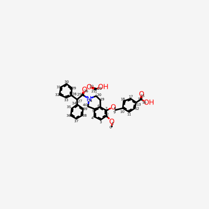 COc1ccc2c(c1OCc1ccc(C(=O)O)cc1)C[C@@H](C(=O)O)N(C(=O)C(c1ccccc1)c1ccccc1)C2